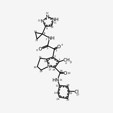 Cc1c(C(=O)C(=O)NC2(c3c[nH]nn3)CC2)c2n(c1C(=O)Nc1cccc(Cl)c1)CCC2